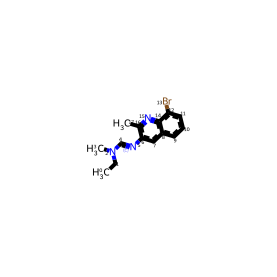 CCN(C)/C=N/c1cc2cccc(Br)c2nc1C